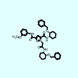 COc1cccc(NC(=O)c2cc(C(=O)N[C@H]3CCCC[C@@H]3OCc3ccccc3)n(CC(=O)N[C@H]3CCCC[C@@H]3OCc3ccccc3)n2)c1